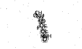 CC(=O)NC[C@H]1CN(c2cc(F)c(-c3ccc(-c4nc5ccccc5[nH]4)c(F)c3)c(F)c2)C(=O)O1